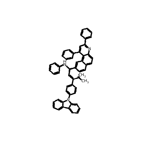 C=C(C)/C(=C\C(Nc1ccccc1)c1ccc2ccc3nc(-c4ccccc4)cc(-c4ccccc4)c3c2c1)c1ccc(-n2c3ccccc3c3ccccc32)cc1